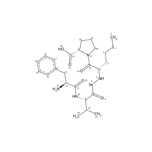 CSCC[C@H](N[Se]C(=O)[C@@H](NC(=O)[C@@H](N)Cc1ccccc1)C(C)C)C(=O)N1CCC[C@H]1C(=O)O